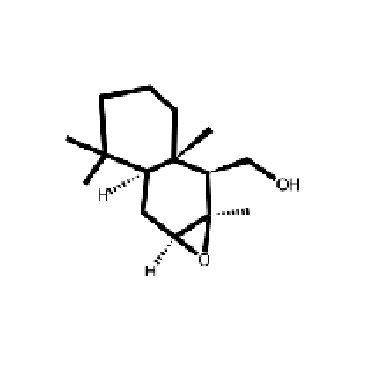 CC1(C)CCC[C@]2(C)[C@@H](CO)[C@@]3(C)O[C@H]3C[C@@H]12